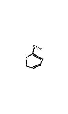 CSC1=NC=CCS1